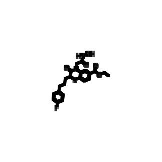 CCOC(=O)c1ccc2c(c1)N(CC(=O)NO)C(=O)C(CCCc1ccc(F)cc1)S2